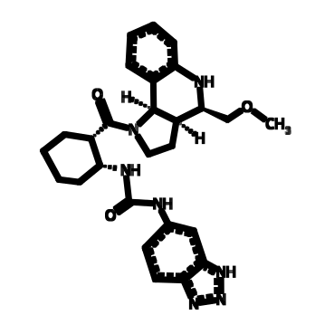 COC[C@@H]1Nc2ccccc2[C@H]2[C@@H]1CCN2C(=O)[C@H]1CCCC[C@H]1NC(=O)Nc1ccc2nn[nH]c2c1